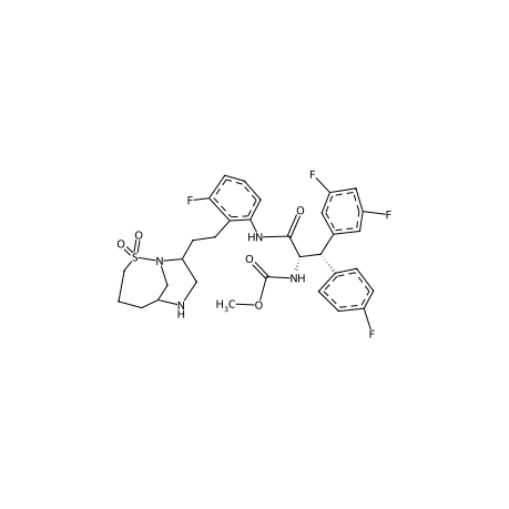 COC(=O)N[C@H](C(=O)Nc1cccc(F)c1CCC1CNC2CCCS(=O)(=O)N1C2)[C@@H](c1ccc(F)cc1)c1cc(F)cc(F)c1